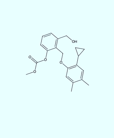 COC(=O)Oc1cccc(CO)c1COc1cc(C)c(C)cc1C1CC1